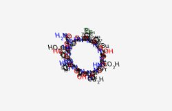 CCCC[C@H]1C(=O)N2C[C@H](O)C[C@@H]2C(=O)N[C@@H](CC(=O)O)C(=O)N[C@@H](C(C)C)C(=O)N(C)[C@H](Cc2ccccc2)C(=O)N[C@@H](CCC(=O)O)C(=O)N2C[C@H](O)C[C@@H]2C(=O)N[C@@H](Cc2c[nH]c3ccccc23)C(=O)N[C@@H](Cc2ccc(O)cc2)C(=O)N[C@@H](CCC(=O)O)C(=O)N[C@H](C(=O)NCC(N)=O)CSCC(=O)N[C@@H](Cc2ccc(F)c(F)c2)C(=O)N(C)[C@@H](Cc2ccccc2)C(=O)N1C